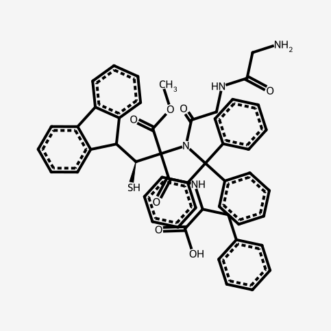 COC(=O)C(C(=O)NC(Cc1ccccc1)C(=O)O)([C@@H](S)C1c2ccccc2-c2ccccc21)N(C(=O)CNC(=O)CN)C(c1ccccc1)(c1ccccc1)c1ccccc1